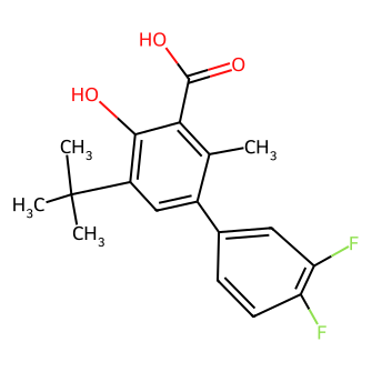 Cc1c(-c2ccc(F)c(F)c2)cc(C(C)(C)C)c(O)c1C(=O)O